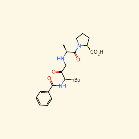 CCCCC(NC(=O)c1ccccc1)C(=O)CN[C@@H](C)C(=O)N1CCC[C@H]1C(=O)O